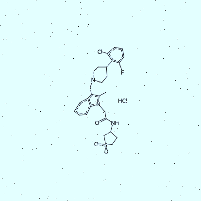 Cc1c(CN2CCC(c3c(F)cccc3Cl)CC2)c2ccccc2n1CC(=O)NC1CCS(=O)(=O)C1.Cl